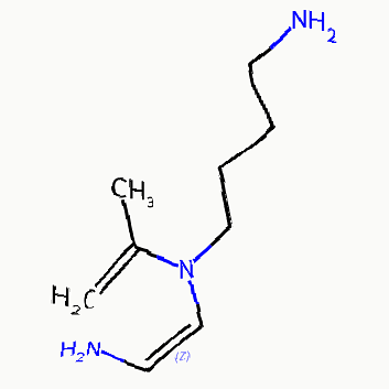 C=C(C)N(/C=C\N)CCCCN